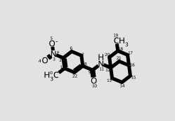 CC1=C([N+](=O)[O-])CCC(C(=O)NC23CCCC(CC(C)C2)C3)=C1